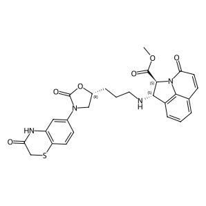 COC(=O)[C@@H]1[C@@H](NCCC[C@@H]2CN(c3ccc4c(c3)NC(=O)CS4)C(=O)O2)c2cccc3ccc(=O)n1c23